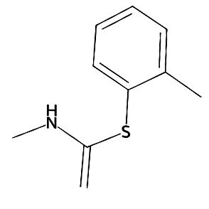 C=C(NC)Sc1ccccc1C